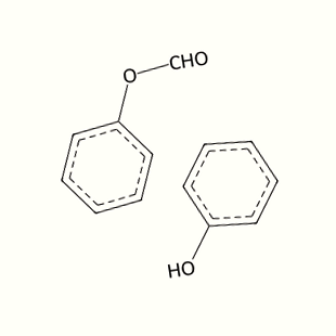 O=COc1ccccc1.Oc1ccccc1